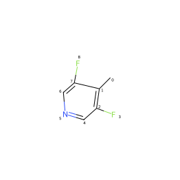 Cc1c(F)cncc1F